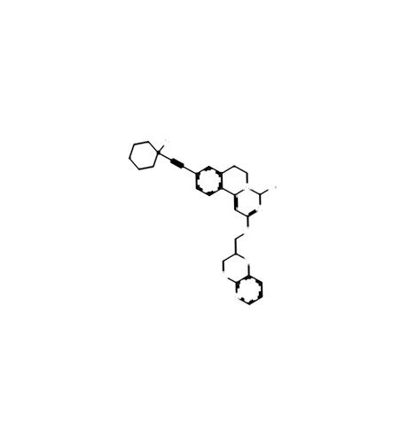 NC1(C#Cc2ccc3c(c2)CCN2C3=CC(OCC3COc4ncccc4O3)=NC2O)CCCCC1